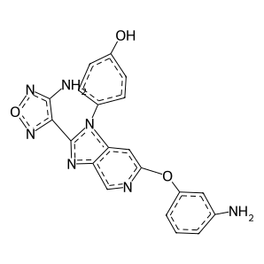 Nc1cccc(Oc2cc3c(cn2)nc(-c2nonc2N)n3-c2ccc(O)cc2)c1